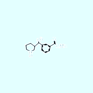 CCCC(c1cccc(C(=O)OC)c1)C1CCCNC1